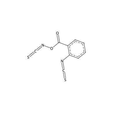 O=C(ON=C=S)c1ccccc1N=C=S